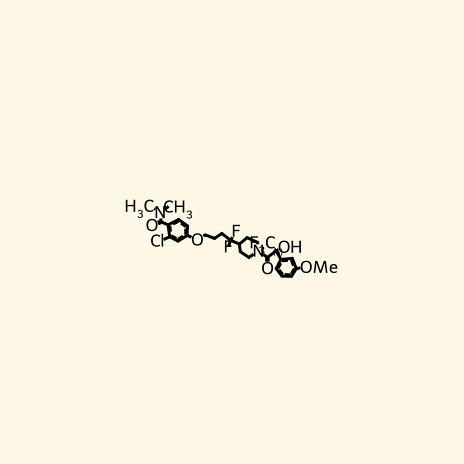 COc1cccc([C@](O)(C(=O)N2CCC(C(F)(F)CCCOc3ccc(C(=O)N(C)C)c(Cl)c3)CC2)C(F)(F)F)c1